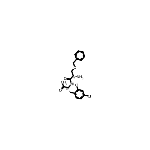 CC(=O)[C@@H](Cc1ccc(Cl)cc1Cl)NC(=O)[C@@H](N)COCc1ccccc1